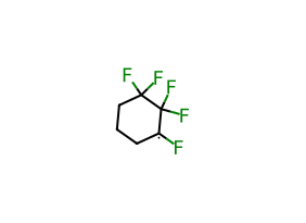 F[C]1CCCC(F)(F)C1(F)F